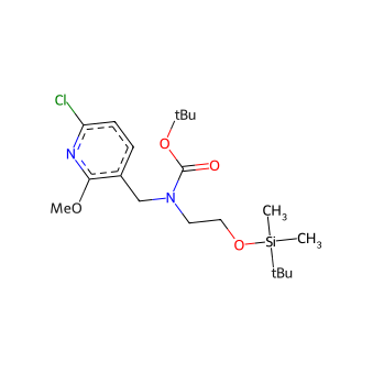 COc1nc(Cl)ccc1CN(CCO[Si](C)(C)C(C)(C)C)C(=O)OC(C)(C)C